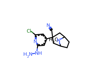 CN1C2CCC1CC(C#N)(c1cc(Cl)nc(NN)c1)C2